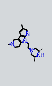 Cc1cnc2c(c1)c1c(n2CCN2C[C@H](C)N[C@@H](C)C2)CCN(C)C1